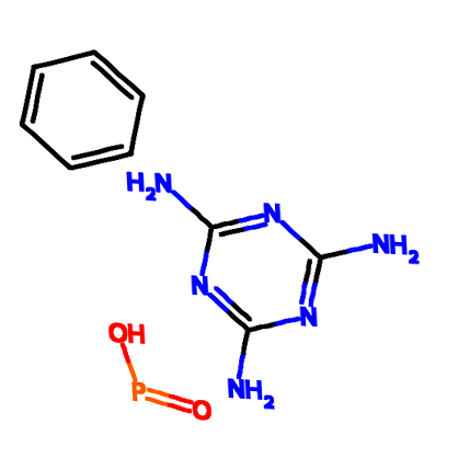 Nc1nc(N)nc(N)n1.O=PO.c1ccccc1